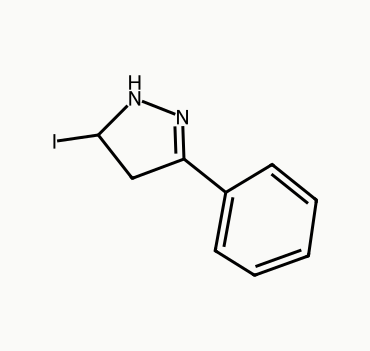 IC1CC(c2ccccc2)=NN1